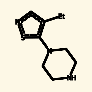 CCc1cnsc1N1CCNCC1